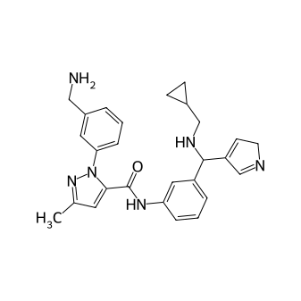 Cc1cc(C(=O)Nc2cccc(C(NCC3CC3)C3=CCN=C3)c2)n(-c2cccc(CN)c2)n1